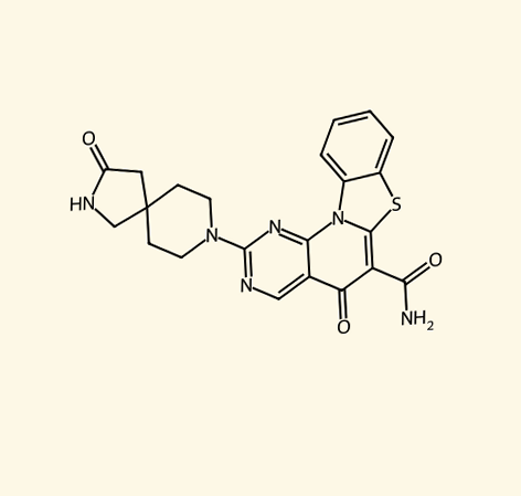 NC(=O)c1c(=O)c2cnc(N3CCC4(CC3)CNC(=O)C4)nc2n2c1sc1ccccc12